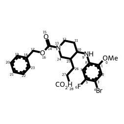 COc1cc(Br)c(F)cc1NC1CCN(C(=O)OCc2ccccc2)CC1CCC(=O)O